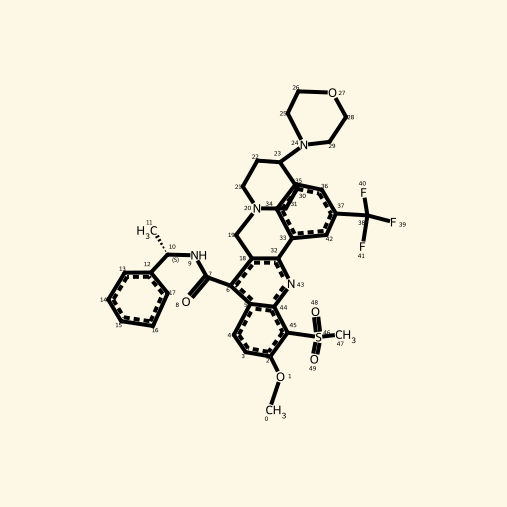 COc1ccc2c(C(=O)N[C@@H](C)c3ccccc3)c(CN3CCC(N4CCOCC4)CC3)c(-c3cccc(C(F)(F)F)c3)nc2c1S(C)(=O)=O